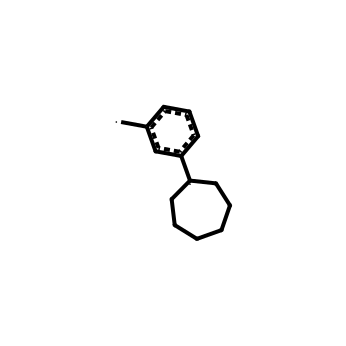 [CH2]c1cccc([C]2CCCCCC2)c1